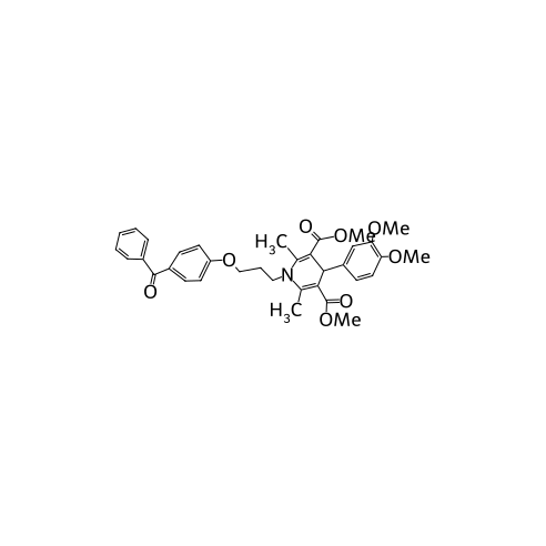 COC(=O)C1=C(C)N(CCCOc2ccc(C(=O)c3ccccc3)cc2)C(C)=C(C(=O)OC)C1c1ccc(OC)c(OC)c1